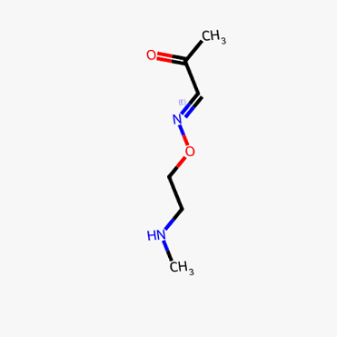 CNCCO/N=C/C(C)=O